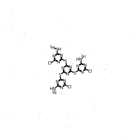 [2H]Nc1nc(Cl)nc(Sc2nc(Sc3nc(Cl)nc(N[2H])n3)nc(Sc3nc(Cl)nc(N[2H])n3)n2)n1